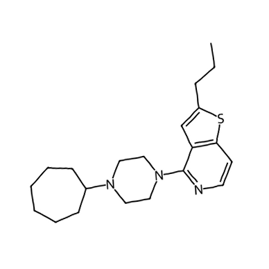 CCCc1cc2c(N3CCN(C4CCCCCC4)CC3)nccc2s1